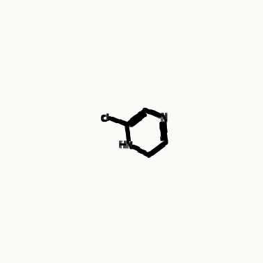 ClC1=CN=CCN1